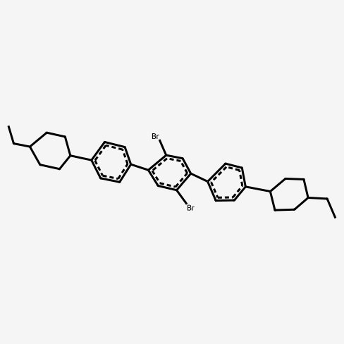 CCC1CCC(c2ccc(-c3cc(Br)c(-c4ccc(C5CCC(CC)CC5)cc4)cc3Br)cc2)CC1